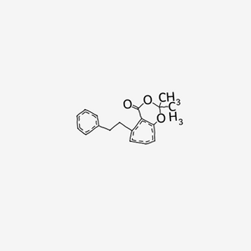 CC1(C)OC(=O)c2c(CCc3ccccc3)cccc2O1